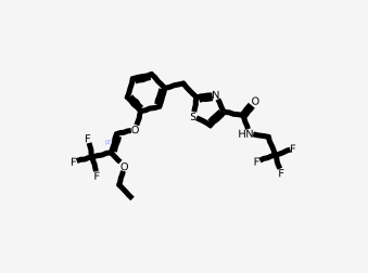 CCO/C(=C\Oc1cccc(Cc2nc(C(=O)NCC(F)(F)F)cs2)c1)C(F)(F)F